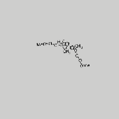 COCCOCCOCCOc1ccc(-c2ccc(C)c3c(OCCOCCOCCOC)cc(C)cc23)cc1C